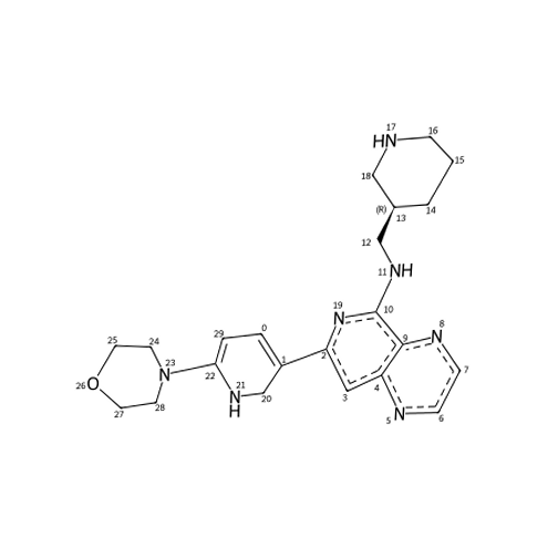 C1=C(c2cc3nccnc3c(NC[C@@H]3CCCNC3)n2)CNC(N2CCOCC2)=C1